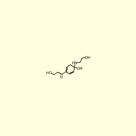 OCCNC1=CCC(O)(NCCO)C=C1